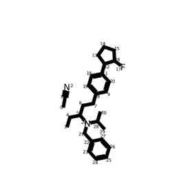 CC#N.CCC(CCc1ccc(C2CCCC2F)cc1)N(Cc1ccccc1)C(C)C